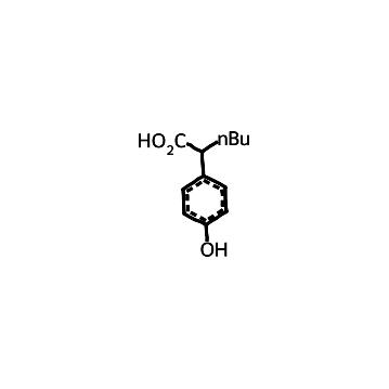 CCCCC(C(=O)O)c1ccc(O)cc1